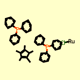 C[C]1C(C)=C(C)C(C)=C1C.[Cl][Ru].c1ccc(P(c2ccccc2)c2ccccc2)cc1.c1ccc(P(c2ccccc2)c2ccccc2)cc1